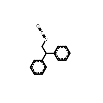 O=C=NC[C](c1ccccc1)c1ccccc1